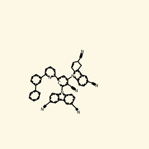 N#Cc1ccc2c(c1)c1c(n2-c2cc(-c3cccc(-c4cccc(-c5ccccc5)c4)n3)cc(-n3c4ccc(C#N)cc4c4cc(C#N)ccc43)c2C#N)C=CC(C#N)C1